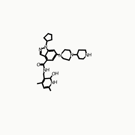 CC1=CC(C)=C(CNC(=O)c2cc(N3CCN(C4CCNCC4)CC3)cc3c2cnn3C2CCCC2)C(O)N1